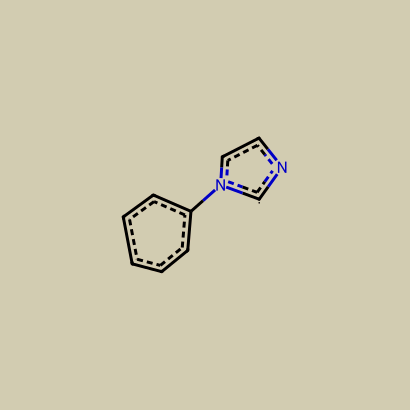 [c]1nccn1-c1ccccc1